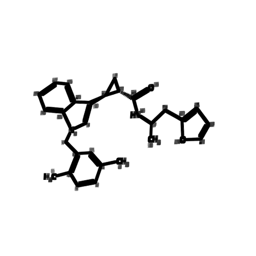 Cc1ccc(C)c(Cn2cc([C@H]3C[C@@H]3C(=O)NC(C)Cc3ccco3)c3ccccc32)c1